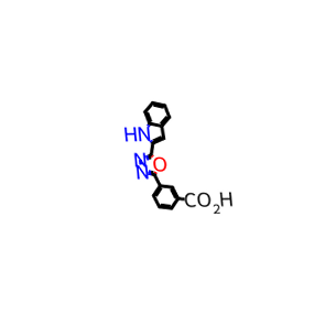 O=C(O)c1cccc(-c2nnc(-c3cc4ccccc4[nH]3)o2)c1